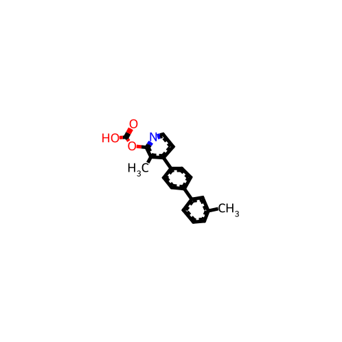 Cc1cccc(-c2ccc(-c3ccnc(OC(=O)O)c3C)cc2)c1